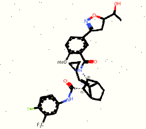 COc1ccc(C2=NOC(C(C)O)C2)cc1C(=O)N[C@@H]1C2CCC(/C2=C/C2CC2)[C@@H]1C(=O)Nc1ccc(F)c(C(F)(F)F)c1